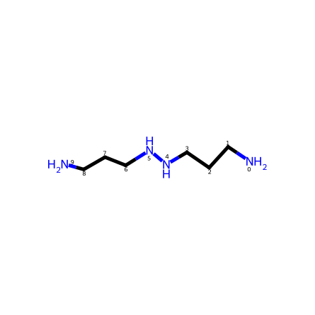 NCCCNNCCCN